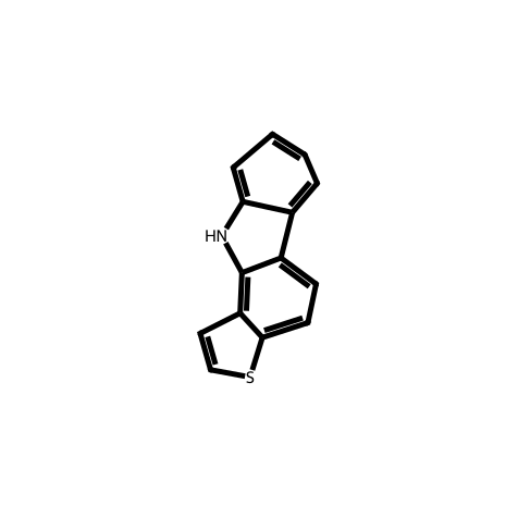 c1ccc2c(c1)[nH]c1c3ccsc3ccc21